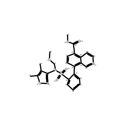 COCN(c1noc(C)c1C)S(=O)(=O)c1ccccc1-c1ccc(C(=O)OC)c2ccncc12